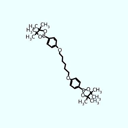 CC1(C)OB(c2ccc(OCCCCCCOc3ccc(B4OC(C)(C)C(C)(C)O4)cc3)cc2)OC1(C)C